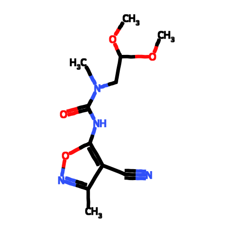 COC(CN(C)C(=O)Nc1onc(C)c1C#N)OC